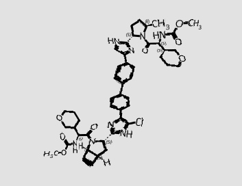 COC(=O)N[C@H](C(=O)N1[C@@H]2C#C[C@@H]2C[C@H]1c1nc(-c2ccc(-c3ccc(-c4c[nH]c([C@@H]5CC[C@@H](C)N5C(=O)[C@@H](NC(=O)OC)[C@@H]5CCCOC5)n4)cc3)cc2)c(Cl)[nH]1)C1CCCOC1